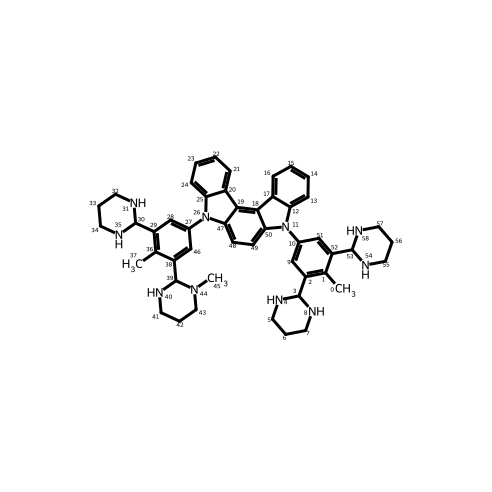 Cc1c(C2NCCCN2)cc(-n2c3ccccc3c3c4c5ccccc5n(-c5cc(C6NCCCN6)c(C)c(C6NCCCN6C)c5)c4ccc32)cc1C1NCCCN1